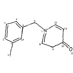 [CH2]c1cccc(C[N+]2=CCC(=O)C=C2)c1